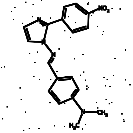 CN(C)c1ccc(C=Nn2ccnc2-c2ccc([N+](=O)[O-])cc2)cc1